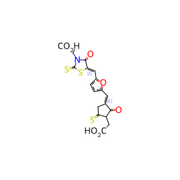 O=C(O)CC1C(=O)/C(=C/c2ccc(/C=C3\SC(=S)N(CC(=O)O)C3=O)o2)CC1=S